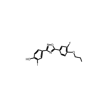 CCCOc1ccc(-c2nc(-c3ccc(O)c(I)c3)no2)cc1F